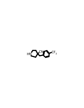 N#CC1(Cc2ccc(C(F)(F)F)cc2)CCNCC1